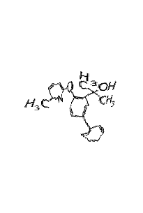 Cc1cccc(Oc2ccc(-c3ccccc3)cc2C(C)(C)O)n1